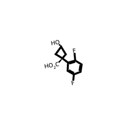 O=C(O)[C@]1(c2cc(F)ccc2F)C[C@H](O)C1